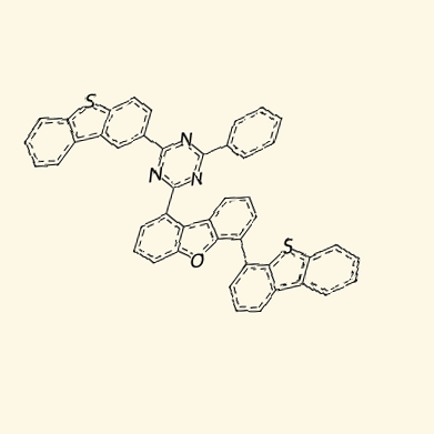 c1ccc(-c2nc(-c3ccc4sc5ccccc5c4c3)nc(-c3cccc4oc5c(-c6cccc7c6sc6ccccc67)cccc5c34)n2)cc1